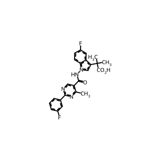 Cc1nc(-c2cccc(F)c2)ncc1C(=O)Nn1cc(C(C)(C)C(=O)O)c2cc(F)ccc21